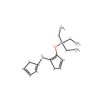 CC[Si](CC)(CC)OC1=[C]([Ti][C]2=CC=CC2)CC=C1